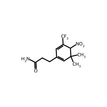 CC1(C)C=C(CCC(N)=O)C=C(C(F)(F)F)C1[N+](=O)[O-]